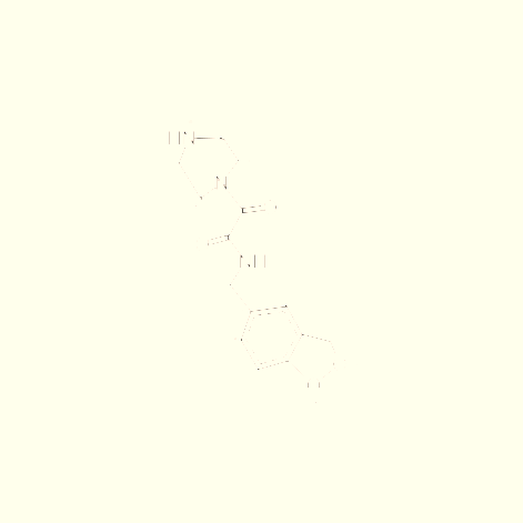 O=C(NCc1ccc2c(c1)COO2)C(=O)N1CCNCC1